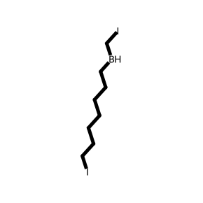 ICBCCCCCCCI